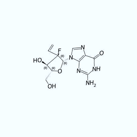 C=C[C@@]1(F)[C@H](O)[C@@H](CO)O[C@H]1n1cnc2c(=O)[nH]c(N)nc21